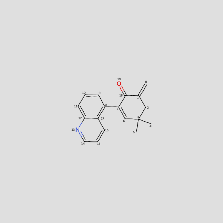 C=C1CC(C)(C)C=C(c2cccc3ncccc23)C1=O